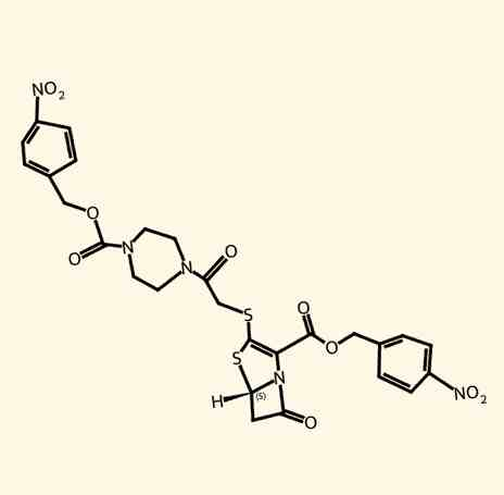 O=C(OCc1ccc([N+](=O)[O-])cc1)C1=C(SCC(=O)N2CCN(C(=O)OCc3ccc([N+](=O)[O-])cc3)CC2)S[C@H]2CC(=O)N12